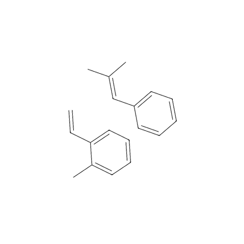 C=Cc1ccccc1C.CC(C)=Cc1ccccc1